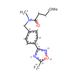 COCCC(=O)N(C)Cc1ccc(-c2noc(C(F)(F)F)n2)cc1